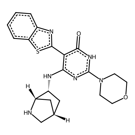 O=c1[nH]c(N2CCOCC2)nc(N[C@@H]2C[C@@H]3CN[C@H]2C3)c1-c1nc2ccccc2s1